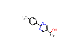 CCCC(O)c1cnc(-c2ccc(C(F)(F)F)cc2)nc1